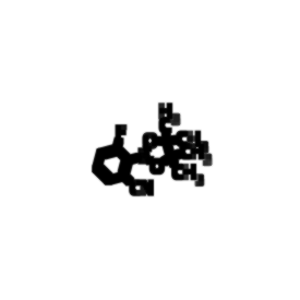 CC1(C)OB(c2c(F)cccc2C#N)OC1(C)C